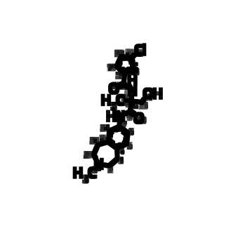 CN1CCc2ccc(NC(=O)[C@@](C)(CO)NC(=O)c3ccc(Cl)s3)cc2CC1